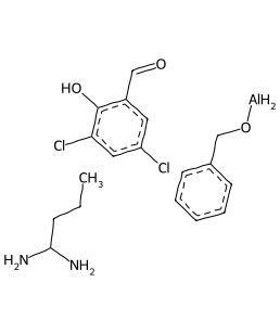 CCCC(N)N.O=Cc1cc(Cl)cc(Cl)c1O.[AlH2][O]Cc1ccccc1